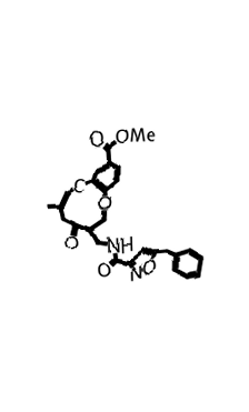 COC(=O)c1ccc2c(c1)CCC(C)CC(=O)C(CNC(=O)c1cc(Cc3ccccc3)on1)CO2